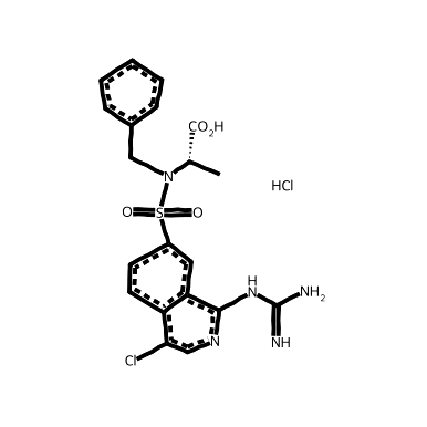 C[C@@H](C(=O)O)N(Cc1ccccc1)S(=O)(=O)c1ccc2c(Cl)cnc(NC(=N)N)c2c1.Cl